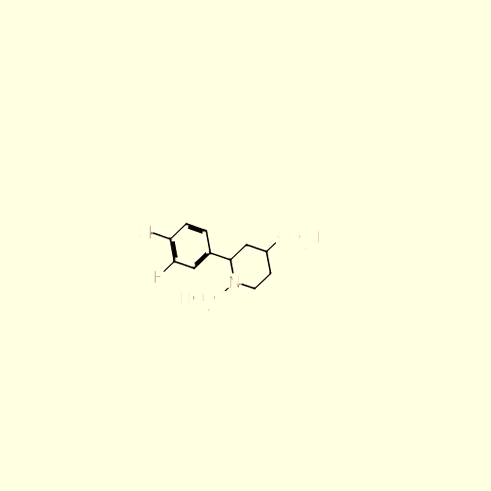 O=C(O)C1CCN(C(=O)O)C(c2ccc(Cl)c(F)c2)C1